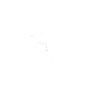 COC1C=C(B(O)O)C=N1